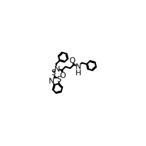 O=C(CCC(=O)N(Cc1ccccc1)Sc1nc2ccccc2s1)NCc1ccccc1